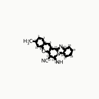 Cc1ccc2cc3c(oc2c1)c(C#N)c(=N)n1c2ccccc2nc31